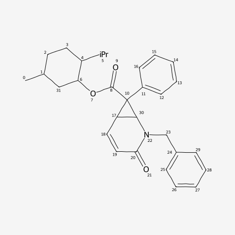 CC1CCC(C(C)C)C(OC(=O)C2(c3ccccc3)C3C=CC(=O)N(Cc4ccccc4)C32)C1